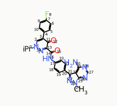 CC(C)n1cc(-c2ccc(F)cc2)c(=O)c(C(=O)Nc2ccc(-c3nn(C)c4ncnc(N)c34)cc2)n1